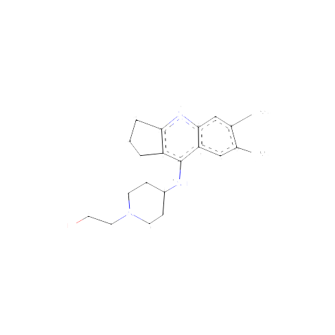 COc1cc2nc3c(c(NC4CCN(CCO)CC4)c2cc1OC)CCC3